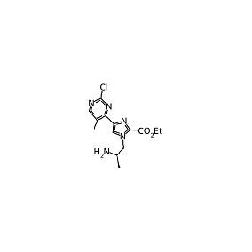 CCOC(=O)c1nc(-c2nc(Cl)ncc2C)cn1C[C@@H](C)N